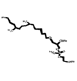 CNCCOP(=O)(O)OCC(COCCCCCCC(C)CCCC(C)CCCC(C)C)OC